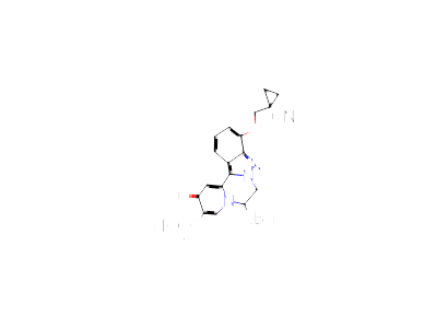 CC(C)(C)C1Cn2nc3c(OCC4(C#N)CC4)cccc3c2-c2cc(=O)c(C(=O)O)cn21